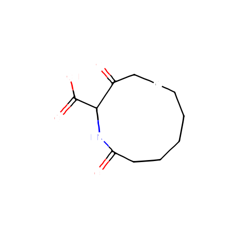 O=C1CCCCCCCC(=O)C(C(=O)O)N1